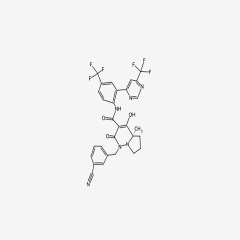 C[C@]12CCCN1N(Cc1cccc(C#N)c1)C(=O)C(C(=O)Nc1ccc(C(F)(F)F)cc1-c1cc(C(F)(F)F)ncn1)=C2O